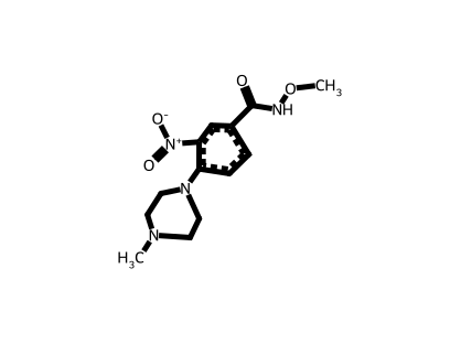 CONC(=O)c1ccc(N2CCN(C)CC2)c([N+](=O)[O-])c1